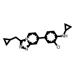 Clc1cc(-c2ccn3c(CC4CC4)nnc3c2)ccc1NC1CC1